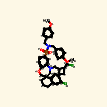 COc1ccc(CN(Cc2ccc(OC)cc2)S(=O)(=O)c2ccc3c(c2)N(CC2CCC2CBr)C[C@@]2(CCCc4cc(Cl)ccc42)CO3)cc1